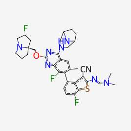 Cc1cc2c(N3CC4CCC(C3)N4)nc(OC[C@@]34CCCN3C[C@H](F)C4)nc2c(F)c1-c1ccc(F)c2sc(/N=C/N(C)C)c(C#N)c12